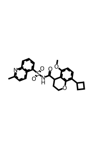 COc1ccc(C2CCC2)c2c1C(C(=O)NS(=O)(=O)c1cccc3nc(C)ccc13)CCO2